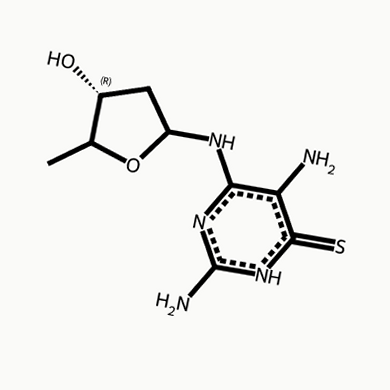 CC1OC(Nc2nc(N)[nH]c(=S)c2N)C[C@H]1O